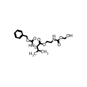 CC(C)[C@H](NC(=O)OCc1ccccc1)C(=O)OCCNC(=O)OCO